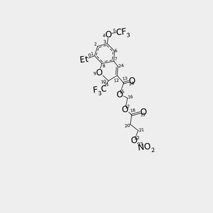 CCc1cc(OC(F)(F)F)cc2c1OC(C(F)(F)F)C(C(=O)OCOC(=O)CCO[N+](=O)[O-])=C2